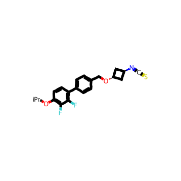 CC(C)Oc1ccc(-c2ccc(CO[C@H]3C[C@H](N=C=S)C3)cc2)c(F)c1F